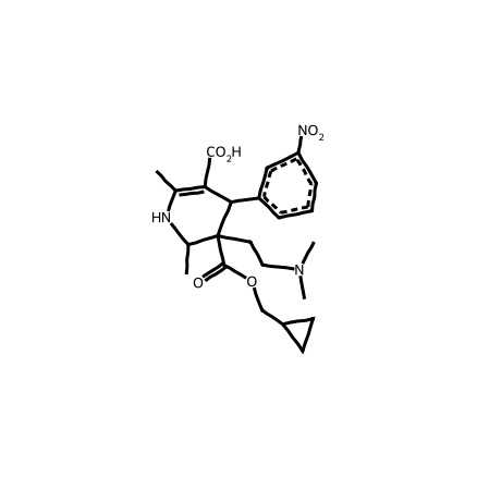 CC1=C(C(=O)O)C(c2cccc([N+](=O)[O-])c2)C(CCN(C)C)(C(=O)OCC2CC2)C(C)N1